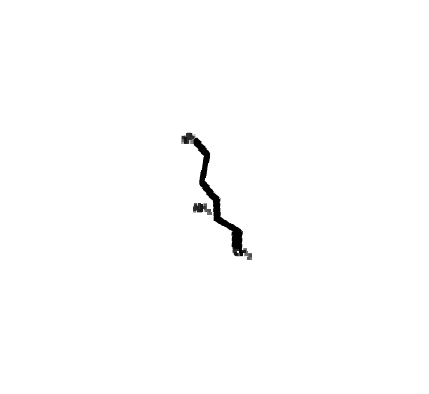 C=CCCCCCCC.[AlH3]